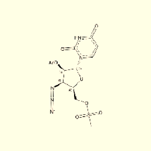 CC(=O)O[C@@H]1[C@H](N=[N+]=[N-])[C@H](COS(C)(=O)=O)O[C@H]1n1ccc(=O)[nH]c1=O